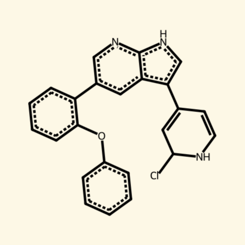 ClC1C=C(c2c[nH]c3ncc(-c4ccccc4Oc4ccccc4)cc23)C=CN1